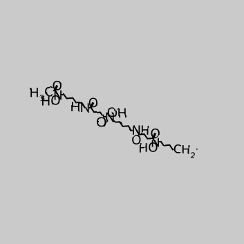 [CH2]CCCCN(O)C(=O)CCC(=O)NCCCCCN(O)C(=O)CCC(=O)NCCCCCN(O)C(C)=O